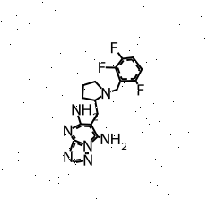 Nc1nc2ncnn2c(N)c1CC1CCCN1Cc1c(F)ccc(F)c1F